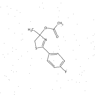 CC(=O)OC1(C)CSC(c2ccc(F)cc2)=N1